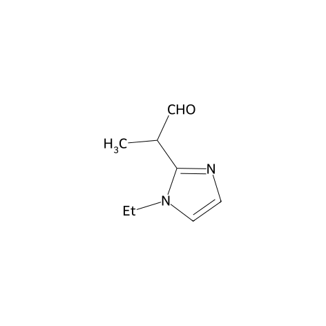 CCn1ccnc1C(C)C=O